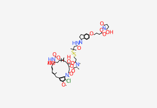 COc1cc2cc(c1Cl)N(C)C(=O)C[C@H](OC(=O)[C@H](C)N(C)C(=O)CCSSC(C)(C)CC(=O)N/N=C1\CCc3cc(OCCCC(=O)ON4C(=O)CCC4O)ccc31)C(C)(O)C[C@H](C)[C@@H]1C[C@@](O)(NC(=O)O1)[C@H](OC)/C=C/C=C(\C)C2